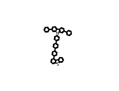 c1ccc(-c2ccc3c4ccc(-c5ccccc5)cc4n(-c4ccc(-c5ccc(-c6ccc(-c7cccc8sc9ccccc9c78)cc6)cc5)cc4)c3c2)cc1